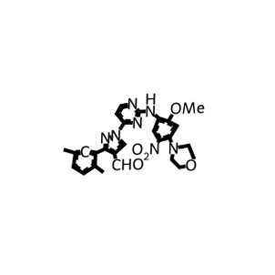 COc1cc(N2CCOCC2)c([N+](=O)[O-])cc1Nc1nccc(-n2cc(C=O)c(-c3cc(C)ccc3C)n2)n1